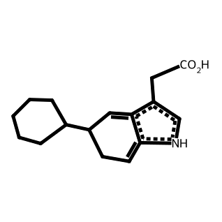 O=C(O)Cc1c[nH]c2c1=CC(C1CCCCC1)CC=2